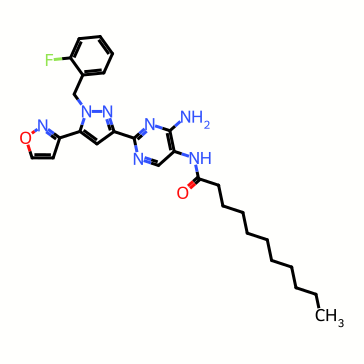 CCCCCCCCCCC(=O)Nc1cnc(-c2cc(-c3ccon3)n(Cc3ccccc3F)n2)nc1N